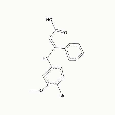 COc1cc(NC(=CC(=O)O)c2ccccc2)ccc1Br